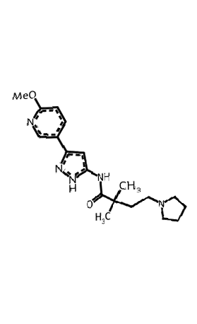 COc1ccc(-c2cc(NC(=O)C(C)(C)CCN3CCCC3)[nH]n2)cn1